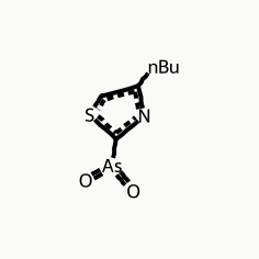 CCCCc1csc([As](=O)=O)n1